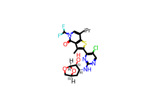 Cc1c(-c2nc(N[C@@H]3C[C@H]4CO[C@H](O4)[C@H]3O)ncc2Cl)sc2c(C(C)C)cn(C(F)F)c(=O)c12